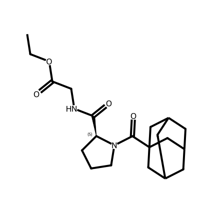 CCOC(=O)CNC(=O)[C@@H]1CCCN1C(=O)C12CC3CC(CC(C3)C1)C2